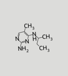 CCC(C)Nc1nc(N)ncc1C